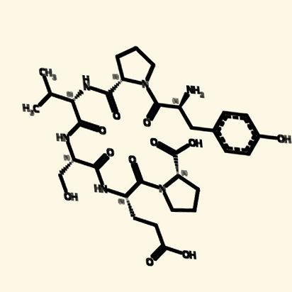 CC(C)[C@H](NC(=O)[C@@H]1CCCN1C(=O)[C@@H](N)Cc1ccc(O)cc1)C(=O)N[C@@H](CO)C(=O)N[C@@H](CCC(=O)O)C(=O)N1CCC[C@H]1C(=O)O